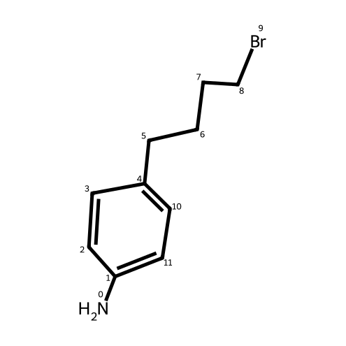 Nc1ccc(CCCCBr)cc1